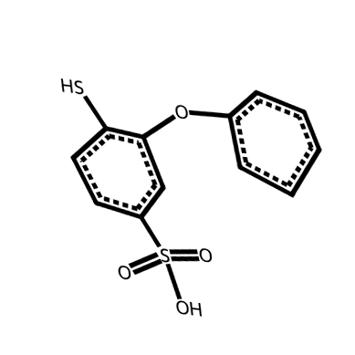 O=S(=O)(O)c1ccc(S)c(Oc2ccccc2)c1